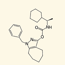 C[C@@H](NC(=O)Oc1nn(Cc2ccccc2)c2c1CCCCC2)C1CCCCC1